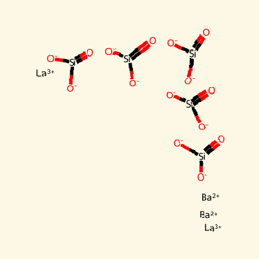 O=[Si]([O-])[O-].O=[Si]([O-])[O-].O=[Si]([O-])[O-].O=[Si]([O-])[O-].O=[Si]([O-])[O-].[Ba+2].[Ba+2].[La+3].[La+3]